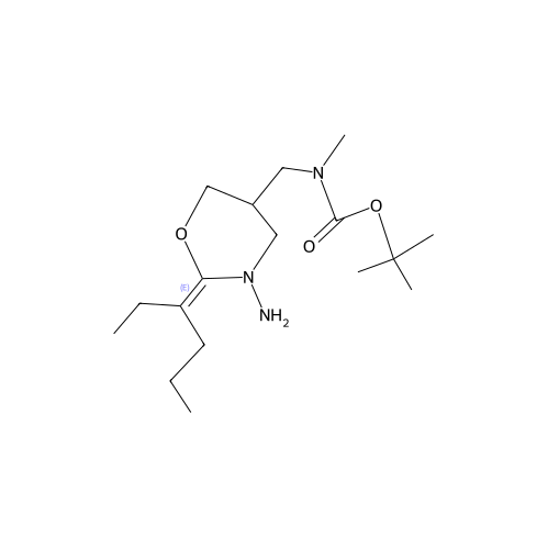 CCC/C(CC)=C1/OCC(CN(C)C(=O)OC(C)(C)C)CN1N